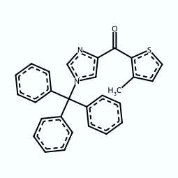 Cc1ccsc1C(=O)c1cn(C(c2ccccc2)(c2ccccc2)c2ccccc2)cn1